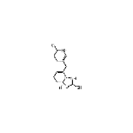 S[C@@H]1NN2C(CC3=CNC(Cl)CC3)=CCC[C@@H]2O1